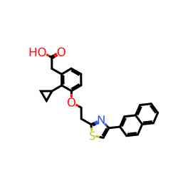 O=C(O)Cc1cccc(OCCc2nc(-c3ccc4ccccc4c3)cs2)c1C1CC1